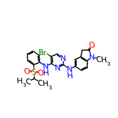 CC(C)S(=O)(=O)c1ccccc1Nc1nc(Nc2ccc3c(c2)CC(=O)N3C)ncc1Br